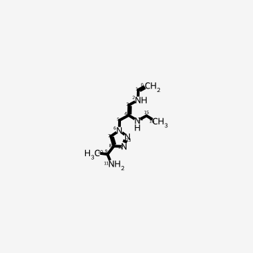 C=CN/C=C(/Cn1cc(C(C)N)nn1)NCC